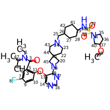 CCN(C(=O)c1cc(F)ccc1Oc1cncnc1N1CC2(CCN(CC3CCC(NS(=O)(=O)N4CCC(OC)C4)CC3)CC2)C1)C(C)C